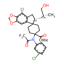 COC(=O)C1(N(C(=O)C(F)(F)F)c2cccc(Cl)c2)CCC2(CC1)c1cc3c(c(Cl)c1C[C@@H]2C[C@@H](C)CO)OCO3